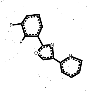 Fc1cccc(-c2nc(-c3ccccn3)co2)c1F